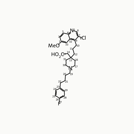 COc1ccc2ncc(Cl)c(CCCC3(CC(=O)O)CCN(CCCCc4ccc(F)cc4)CC3)c2c1